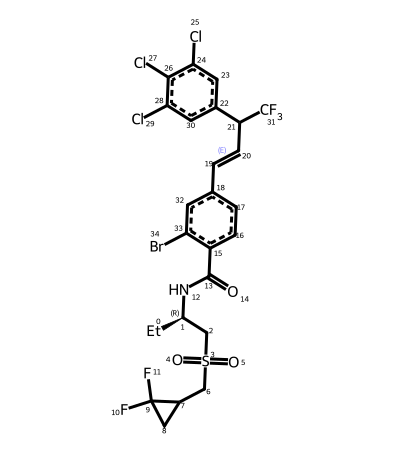 CC[C@H](CS(=O)(=O)CC1CC1(F)F)NC(=O)c1ccc(/C=C/C(c2cc(Cl)c(Cl)c(Cl)c2)C(F)(F)F)cc1Br